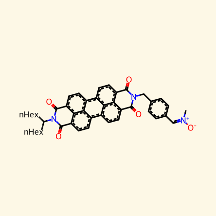 CCCCCCC(CCCCCC)N1C(=O)c2ccc3c4ccc5c6c(ccc(c7ccc(c2c37)C1=O)c64)C(=O)N(Cc1ccc(/C=[N+](\C)[O-])cc1)C5=O